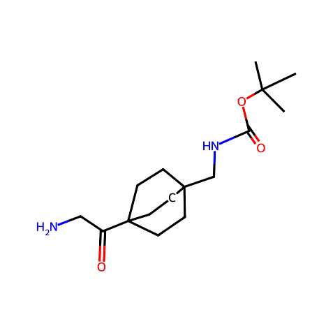 CC(C)(C)OC(=O)NCC12CCC(C(=O)CN)(CC1)CC2